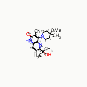 COC1(C)CCN(c2c(C#N)c(=O)[nH]c3ccc(C(C)(C)O)nc23)CC1